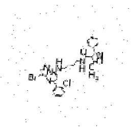 Cc1onc(-c2ccccc2)c1C(=O)NCCCCNc1cc(-c2ccccc2Cl)nc2c(Br)cnn12